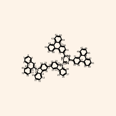 c1ccc2c(c1)cc(-n1c3ccccc3c3cc(-c4ccc5c(c4)c4ccccc4n5-c4nc(-c5ccc6c7ccccc7c7ccccc7c6c5)nc(-c5ccc6c7ccccc7c7ccccc7c6c5)n4)ccc31)c1ccccc12